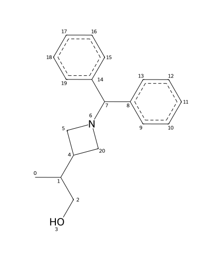 CC(CO)C1CN(C(c2ccccc2)c2ccccc2)C1